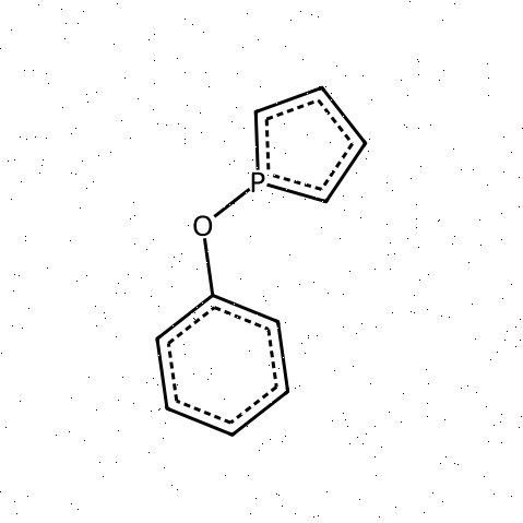 c1ccc(Op2cccc2)cc1